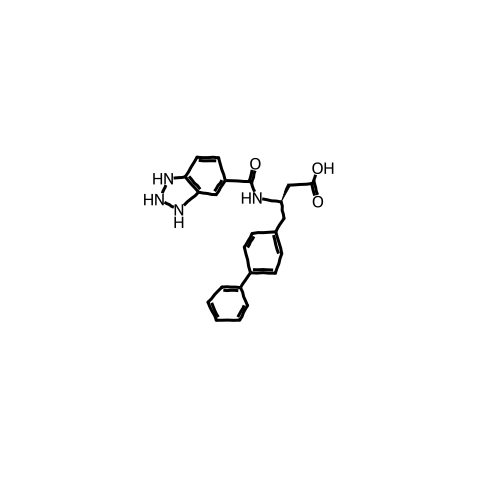 O=C(O)C[C@@H](Cc1ccc(-c2ccccc2)cc1)NC(=O)c1ccc2c(c1)NNN2